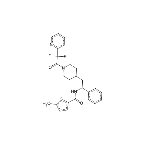 Cc1ccc(C(=O)NC(CC2CCN(C(=O)C(F)(F)c3ccccn3)CC2)c2ccccc2)s1